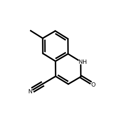 Cc1ccc2[nH]c(=O)cc(C#N)c2c1